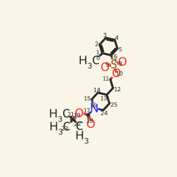 Cc1ccccc1S(=O)(=O)OCCC1CCN(C(=O)OC(C)(C)C)CC1